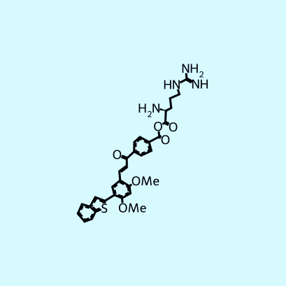 COc1cc(OC)c(-c2cc3ccccc3s2)cc1/C=C/C(=O)c1ccc(C(=O)OC(=O)[C@@H](N)CCCNC(=N)N)cc1